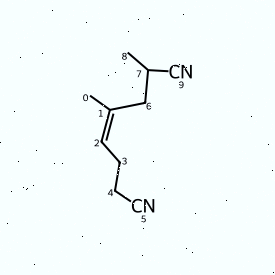 CC(=CCCC#N)CC(C)C#N